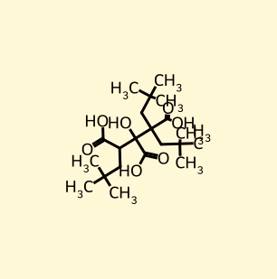 CC(C)(C)CC(C(=O)O)C(O)(C(=O)O)C(CC(C)(C)C)(CC(C)(C)C)C(=O)O